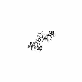 CC(c1ccccc1OCc1cc(C(F)(F)F)cc(C(F)(F)F)c1)N(C)Cc1nnnn1C